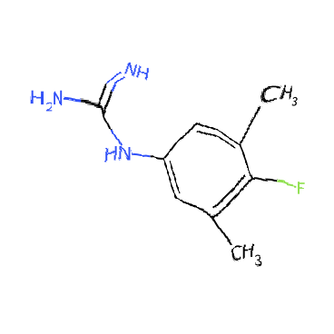 Cc1cc(NC(=N)N)cc(C)c1F